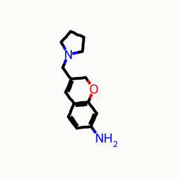 Nc1ccc2c(c1)OCC(CN1CCCC1)=C2